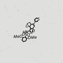 COc1cccc(OC)c1S(=O)(=O)Nc1noc2cc(-c3ccsc3)c3c(c12)OCC3